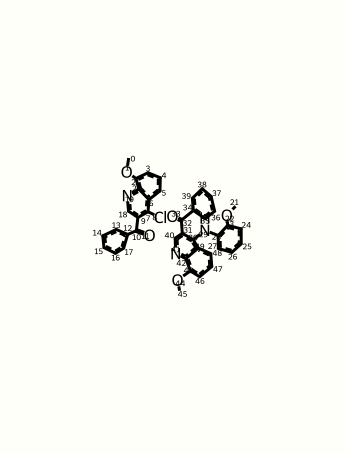 COc1cccc2c(Cl)c(C(=O)c3ccccc3)cnc12.COc1ccccc1Nc1c(C(=O)c2ccccc2)cnc2c(OC)cccc12